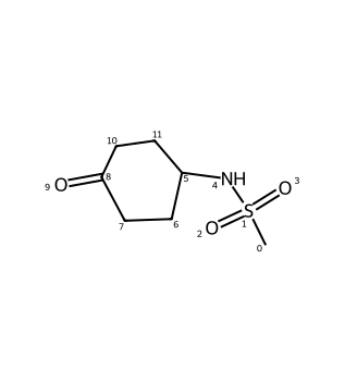 CS(=O)(=O)NC1CCC(=O)CC1